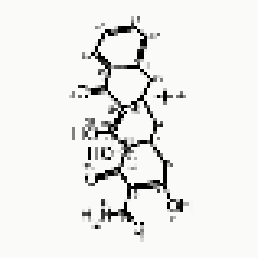 NC(=O)C1=C(O)CC2C[C@@H]3Cc4ccccc4C(=O)C3=C(O)[C@]2(O)C1=O